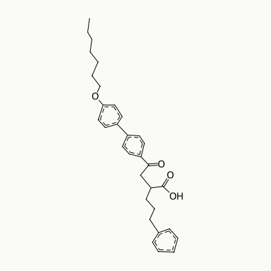 CCCCCCCOc1ccc(-c2ccc(C(=O)CC(CCCc3ccccc3)C(=O)O)cc2)cc1